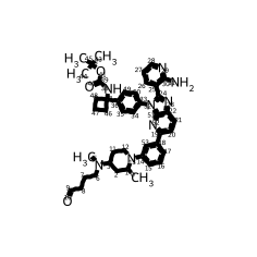 CC1CC(N(C)CCCC=O)CCN1c1cccc(-c2ccc3nc(-c4cccnc4N)n(-c4ccc(C5(NC(=O)OC(C)(C)C)CCC5)cc4)c3n2)c1